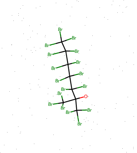 [O]C(C(Br)(Br)Br)(C(Br)(Br)Br)C(Br)(Br)C(Br)(Br)C(Br)(Br)C(Br)(Br)C(Br)(Br)Br